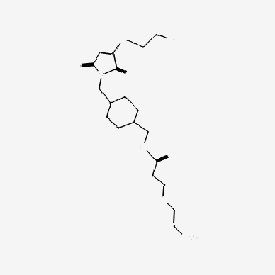 COCCOCCC(=O)NCC1CCC(CN2C(=O)CC(SCCO)C2=O)CC1